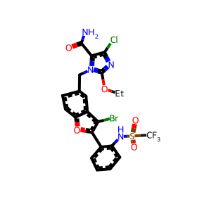 CCOc1nc(Cl)c(C(N)=O)n1Cc1ccc2oc(-c3ccccc3NS(=O)(=O)C(F)(F)F)c(Br)c2c1